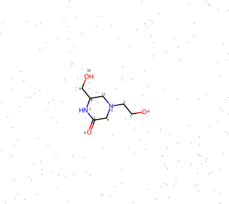 [O]CCN1CC(=O)NC(CO)C1